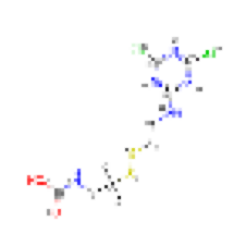 CC(C)(CNC(=O)O)SSCCNc1nc(Cl)nc(Cl)n1